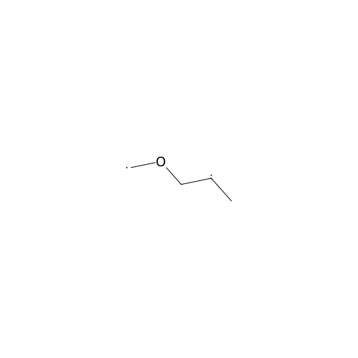 [CH2]OC[CH]C